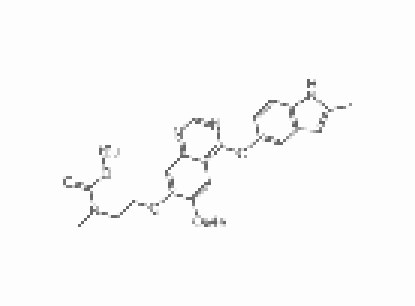 COc1cc2c(Oc3ccc4[nH]c(C)cc4c3)ncnc2cc1OCCN(C)C(=O)OC(C)(C)C